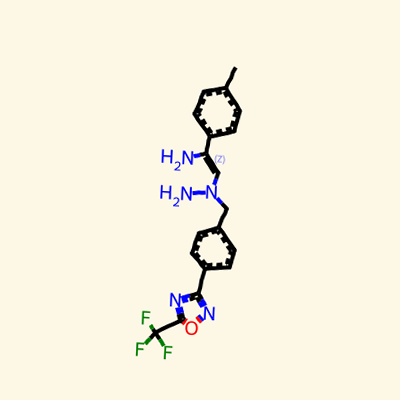 Cc1ccc(/C(N)=C/N(N)Cc2ccc(-c3noc(C(F)(F)F)n3)cc2)cc1